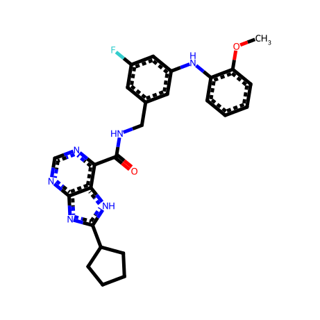 COc1ccccc1Nc1cc(F)cc(CNC(=O)c2ncnc3nc(C4CCCC4)[nH]c23)c1